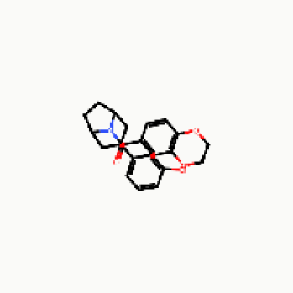 O=C(c1ccc2c(c1)OCCO2)N1C2CCC1CC(c1cccc(O)c1)C2